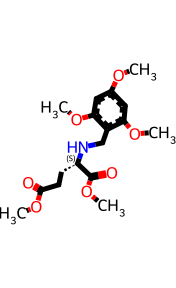 COC(=O)CC[C@H](NCc1c(OC)cc(OC)cc1OC)C(=O)OC